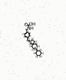 O=C(O)NCc1ccc(CN2CCC3(CCN(C4CCCCC4)CC3)C2)cc1